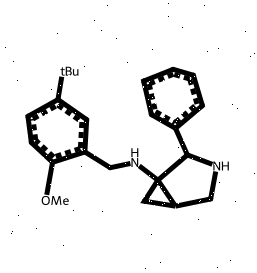 COc1ccc(C(C)(C)C)cc1CNC12CC1CNC2c1ccccc1